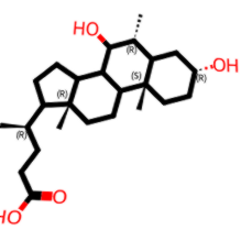 C[C@H]1C(O)C2C3CCC([C@H](C)CCC(=O)O)[C@@]3(C)CCC2[C@@]2(C)CC[C@@H](O)CC12